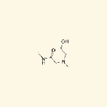 CN(CCO)CC(=O)NI